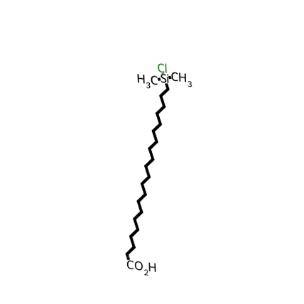 C[Si](C)(Cl)CCCCCCCCCCCCCCCCCCCCC(=O)O